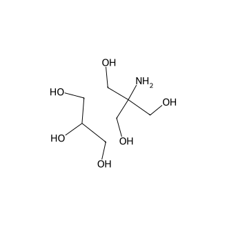 NC(CO)(CO)CO.OCC(O)CO